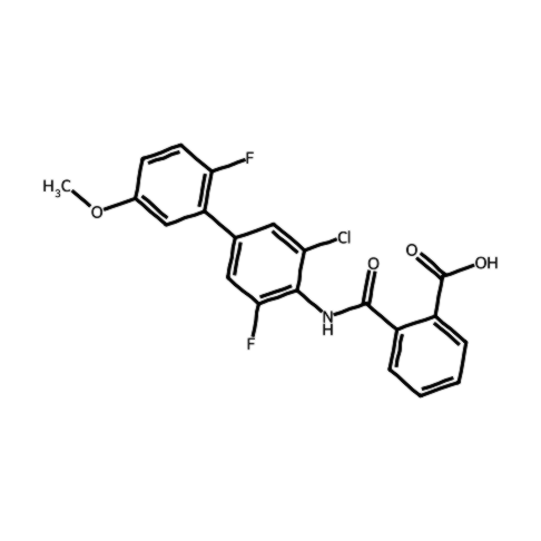 COc1ccc(F)c(-c2cc(F)c(NC(=O)c3ccccc3C(=O)O)c(Cl)c2)c1